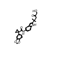 CC(C)(CC(=O)CO)c1cc2cc(NC(=O)C3(c4ccc5c(c4)OCO5)CC3)ccc2[nH]1